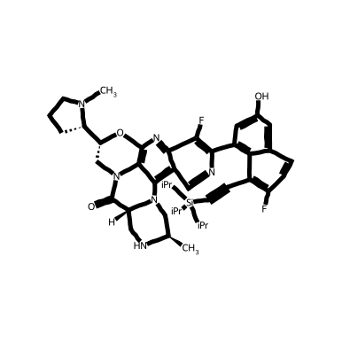 CC(C)[Si](C#Cc1c(F)ccc2cc(O)cc(-c3ncc4c5c6c(nc4c3F)O[C@@H]([C@@H]3CCCN3C)CN6C(=O)[C@H]3CN[C@H](C)CN53)c12)(C(C)C)C(C)C